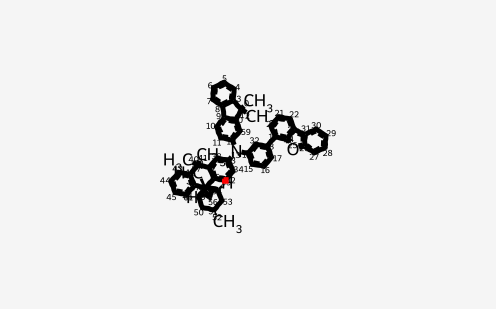 CC1(C)c2ccccc2-c2ccc(N(c3cccc(-c4cccc5c4oc4ccccc45)c3)c3ccc4c(c3)C(C)(C)c3ccccc3C43[C@H]4C[C@@H](C)C[C@@H]3C[C@@H](C)C4)cc21